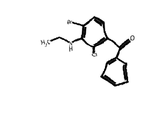 CCNc1c(Br)ccc(C(=O)c2ccccc2)c1Cl